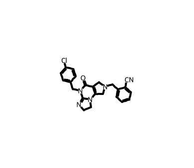 N#Cc1ccccc1CN1CC2=C(C1)N1CCN=C1N(Cc1ccc(Cl)cc1)C2=O